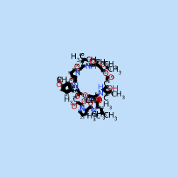 CC[C@H](C)[C@H]1NC(=O)[C@@H](NC(=O)[C@@H](CC(C)C)N(C)C(=O)C2CCCN2C(=O)C(C)=O)[C@@H](C)OC(=O)[C@H](Cc2ccc(OC)cc2)N(C)C(=O)C2CCCN2C(=O)[C@H](CC(C)C)NC(=O)[C@@H](C)C(=O)[C@H](C(C)C)OC(=O)C[C@@H]1O